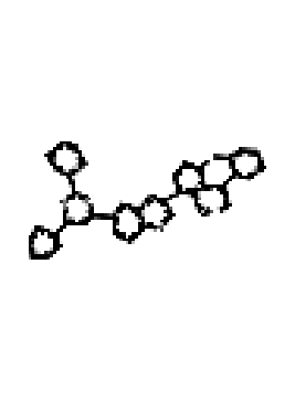 c1ccc(-c2cc(-c3ccc4ncc(-c5ccc6c7c(cccc57)-c5ccccc5O6)cc4c3)nc(-c3ccccc3)n2)cc1